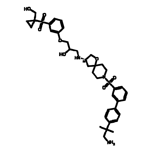 CC(C)(CN)c1ccc(-c2cccc(S(=O)(=O)N3CCC4(CC3)C[C@H](NCC(O)COc3cccc(S(=O)(=O)C5(CO)CC5)c3)CO4)c2)cc1